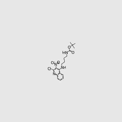 CC(C)(C)OC(=O)NCCCCNc1c([N+](=O)[O-])c(Cl)nc2ccccc12